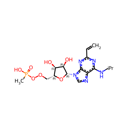 C=Cc1nc(NC(C)C)c2ncn([C@@H]3O[C@H](COOP(C)(=O)O)[C@@H](O)[C@H]3O)c2n1